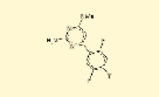 CNc1cc(-c2cc(F)c(F)cc2F)nc(N)n1